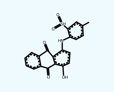 Cc1ccc(Nc2ccc(O)c3c2C(=O)c2ccccc2C3=O)c([SH](=O)=O)c1